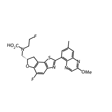 COc1cnc2c(-c3nc4cc(F)c5c(c4s3)C[C@@H](CN(CCF)C(=O)O)O5)cc(C)cc2n1